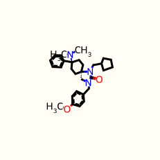 COc1ccc(CN2C[C@]3(CC[C@](c4ccccc4)(N(C)C)CC3)N(CC3CCCC3)C2=O)cc1